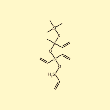 C=C[SiH2]O[Si](C=C)(C=C)O[Si](C)(C=C)S[Si](C)(C)C